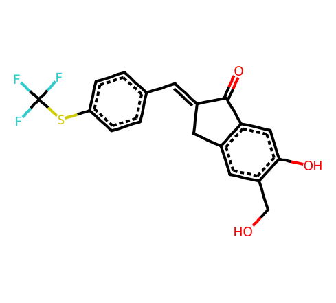 O=C1/C(=C/c2ccc(SC(F)(F)F)cc2)Cc2cc(CO)c(O)cc21